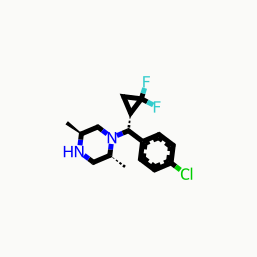 C[C@@H]1CN[C@@H](C)CN1C(c1ccc(Cl)cc1)[C@@H]1CC1(F)F